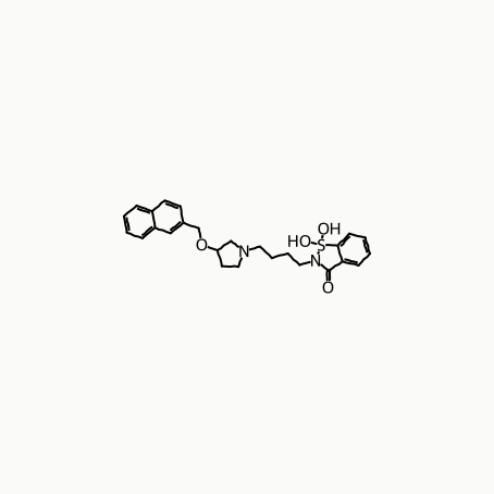 O=C1c2ccccc2S(O)(O)N1CCCCN1CCC(OCc2ccc3ccccc3c2)C1